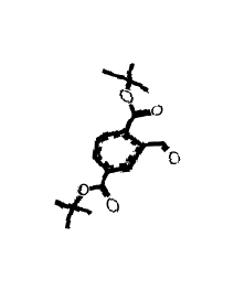 CC(C)(C)OC(=O)c1ccc(C(=O)OC(C)(C)C)c(C=O)c1